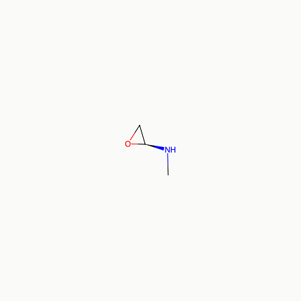 CN[C@@H]1CO1